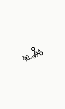 CCOC(=O)C(C)CCCCOc1cc(-c2ccccc2)cc(-c2ccccc2F)n1